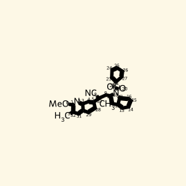 COc1nc2cc(C(C)(C#N)Cc3cc4ccccc4n3S(=O)(=O)c3ccccc3)ccc2cc1C